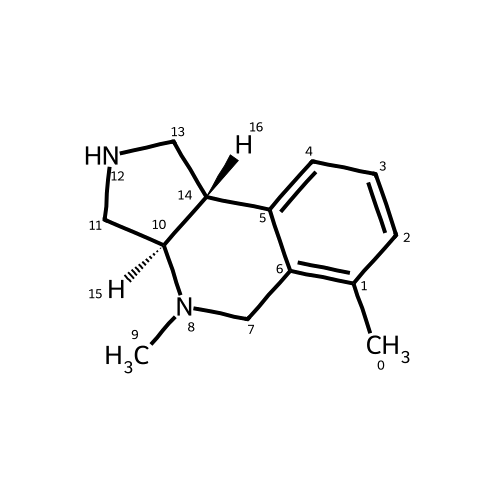 Cc1cccc2c1CN(C)[C@H]1CNC[C@H]21